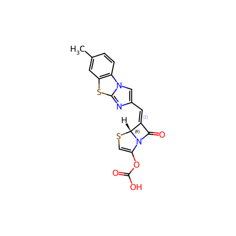 Cc1ccc2c(c1)sc1nc(/C=C3/C(=O)N4C(OC(=O)O)=CS[C@H]34)cn12